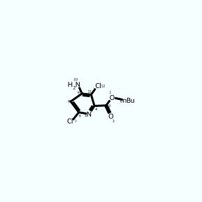 CCCCOC(=O)c1nc(Cl)cc(N)c1Cl